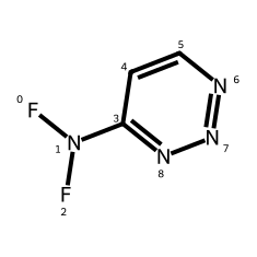 FN(F)c1ccnnn1